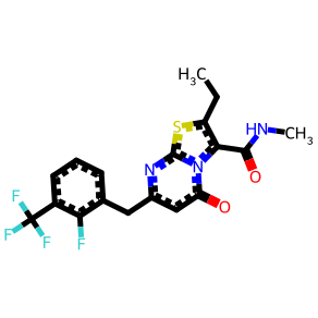 CCc1sc2nc(Cc3cccc(C(F)(F)F)c3F)cc(=O)n2c1C(=O)NC